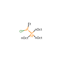 CCCCCCCC[PH](CCCCCCCC)(CCCCCCCC)P(Cl)CC